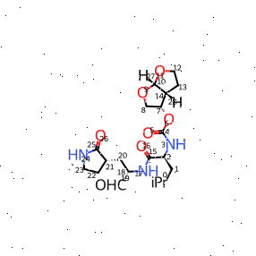 CC(C)C[C@H](NC(=O)O[C@@H]1CO[C@@H]2OCC[C@@H]21)C(=O)N[C@H](C=O)C[C@@H]1CCNC1=O